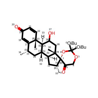 CC(C)COC1(OCC(C)C)OCC(=O)[C@@]2(O1)[C@H](C)C[C@H]1[C@@H]3C[C@H](C)C4=CC(=O)C=C[C@]4(C)[C@H]3C(O)C[C@@]12C